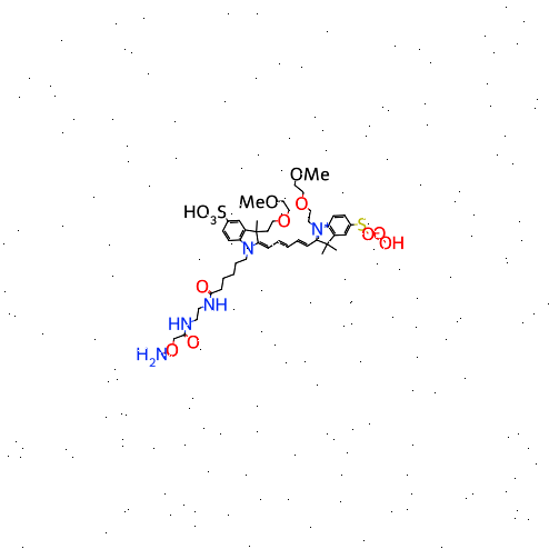 COCCOCC[N+]1=C(/C=C/C=C/C=C2/N(CCCCCC(=O)NCCNC(=O)CON)c3ccc(S(=O)(=O)O)cc3C2(C)CCOCCOC)C(C)(C)c2cc(SOOO)ccc21